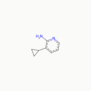 Nc1ncc[c]c1C1CC1